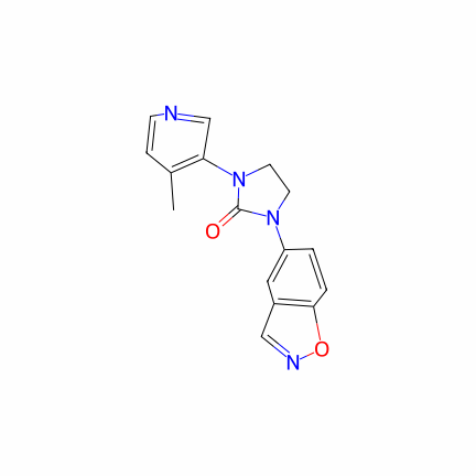 Cc1ccncc1N1CCN(c2ccc3oncc3c2)C1=O